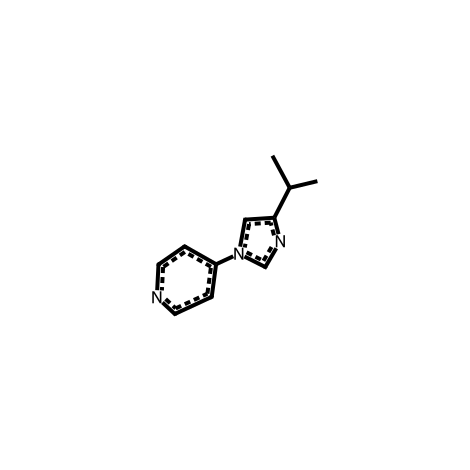 CC(C)c1cn(-c2ccncc2)cn1